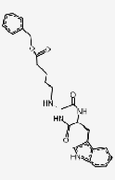 O=C(CCCCN[C@H]1NC(=O)[C@H](Cc2c[nH]c3ccccc23)NC1=O)OCc1ccccc1